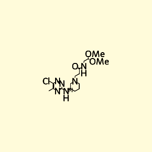 COC(CNC(=O)CCN1CCC[C@@H](Nc2nnc(Cl)c(C)n2)C1)OC